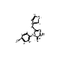 Fc1ccc(-n2c(Cc3ccsc3)n[nH]c2=S)cc1